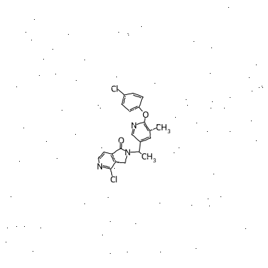 Cc1cc(C(C)N2Cc3c(ccnc3Cl)C2=O)cnc1Oc1ccc(Cl)cc1